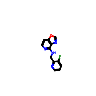 Fc1cccnc1CNc1nccc2ocnc12